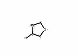 [CH2]C1COCN1